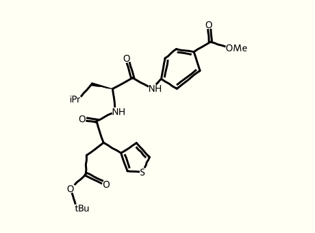 COC(=O)c1ccc(NC(=O)[C@H](CC(C)C)NC(=O)C(CC(=O)OC(C)(C)C)c2ccsc2)cc1